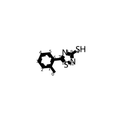 Cc1ccccc1-c1nc(S)ns1